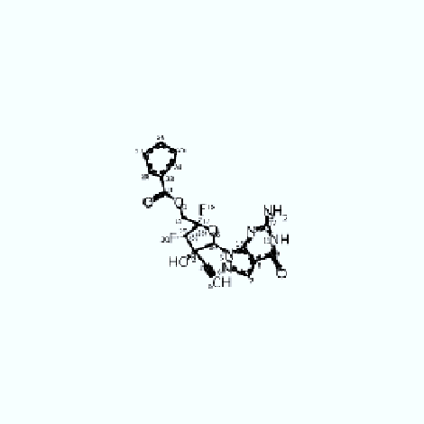 C#C[C@]1(O)[C@H](n2ncc3c(=O)[nH]c(N)nc32)O[C@](F)(COC(=O)c2ccccc2)[C@H]1F